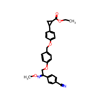 CCOC(=O)C1CC1c1ccc(OCc2ccc(OC/C(=N\OC)c3ccc(C#N)cc3)cc2)cc1